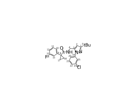 CC(C)(C)c1cc(CNC(=O)C2(c3cccc(F)c3)CC2)n(-c2cccc(Cl)c2)n1